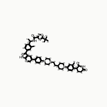 Cc1cc(-c2n[nH]c3ncc(-c4ccc(N5CCN(CCC6CCN(c7ccc(C8CCC(=O)NC8=O)c(C)c7)CC6)CC5)cc4)cc23)ccc1C(C)NC(=O)c1noc(C(C)(C)C)n1